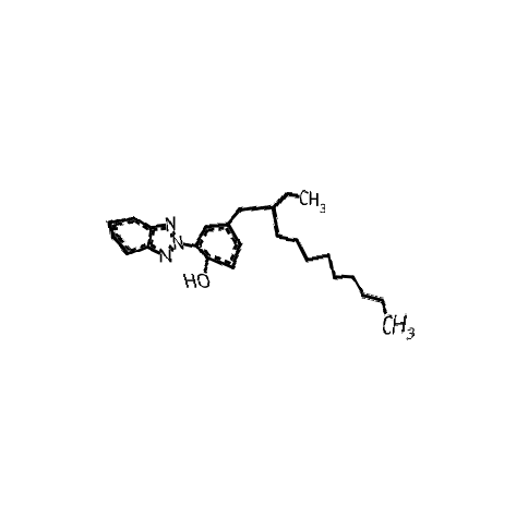 CCCCCCCCCC(CC)Cc1ccc(O)c(-n2nc3ccccc3n2)c1